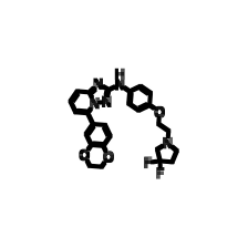 FC1(F)CCN(CCOc2ccc(Nc3nc4cccc(-c5ccc6c(c5)OCCO6)n4n3)cc2)C1